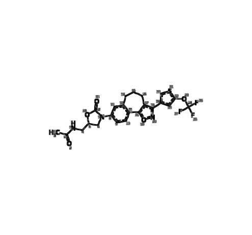 CC(=O)NCC1CN(c2ccc3c(c2)CCCc2c(-c4csc(OC(F)(F)F)c4)noc2-3)C(=O)O1